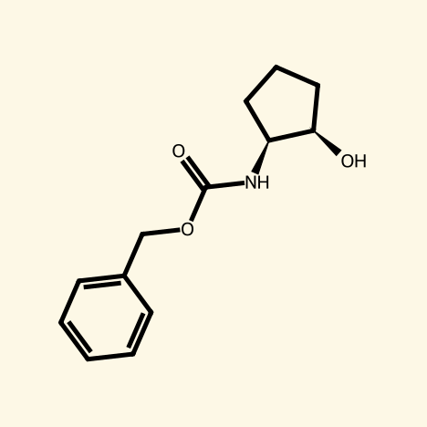 O=C(N[C@H]1CCC[C@H]1O)OCc1ccccc1